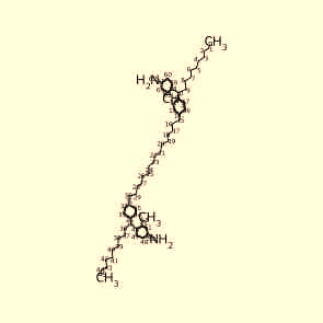 CCCCCCCCCCC(c1ccc(CCCCCCCCCCCCCCCCc2ccc(C(CCCCCCCCCC)c3ccc(N)cc3C)cc2)cc1)c1ccc(N)cc1C